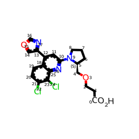 O=C(O)CCOC[C@@H]1CCCN1c1cc(-c2cocn2)c2ccc(Cl)c(Cl)c2n1